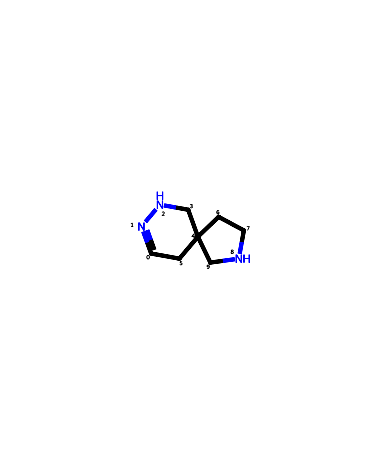 C1=NNCC2(C1)CCNC2